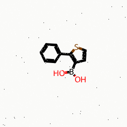 OB(O)c1ccsc1-c1ccccc1